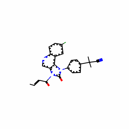 C/C=C/C(=O)n1c(=O)n(-c2ccc(C(C)(C)C#N)cc2)c2c3cc(Cl)ccc3ncc21